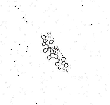 CC(C)c1cccc2c1oc1c(N(c3ccccc3)c3ccc4c5c(c6ccccc6c4c3)-c3c(cc(N(c4ccccc4)c4cccc6c4oc4c(C(C)C)cccc46)c4ccccc34)C5(C(C)(C)C)C(C)(C)C)cccc12